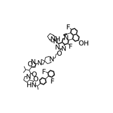 C#Cc1c(F)ccc2cc(O)cc(-c3ncc4c(N5CC6CCC(C5)N6)nc(OCCN5CCC6(CC5)CN(c5cc(C(C(=O)N7CCCC7C(=O)NC(C)c7ccc(-c8c(F)cccc8F)cc7)C(C)C)on5)C6)nc4c3F)c12